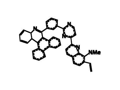 C=Cc1ccc2ccc(-c3ccnc(-c4cccc(C5=NC6C=CC=CC6c6c5c5ccccc5c5ccccc65)c4)n3)nc2c1NC